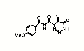 COc1ccc(C(=O)NC(=O)C2N=NNC(=O)C2=O)cc1